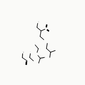 NC[C]=O.[CH2]C(C)CC.[CH2]C(N)OCC.[CH2]CC(CN)[SH](=O)=O.[CH2]CN